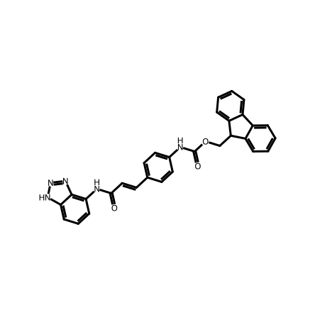 O=C(C=Cc1ccc(NC(=O)OCC2c3ccccc3-c3ccccc32)cc1)Nc1cccc2[nH]nnc12